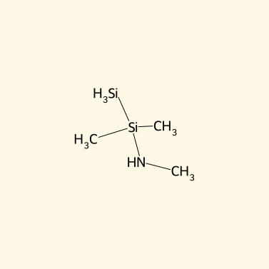 CN[Si](C)(C)[SiH3]